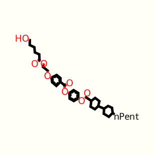 CCCCCC1CCC(C2CCC(C(=O)Oc3ccc(OC(=O)c4ccc(OCCOC(=O)CCCCCO)cc4)cc3)CC2)CC1